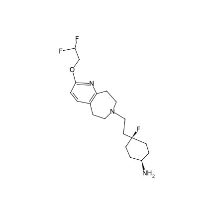 N[C@H]1CC[C@](F)(CCN2CCc3ccc(OCC(F)F)nc3CC2)CC1